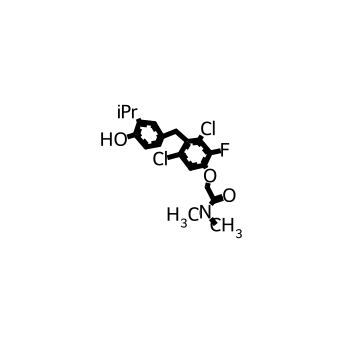 CC(C)c1cc(Cc2c(Cl)cc(OCC(=O)N(C)C)c(F)c2Cl)ccc1O